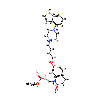 CCCCCCOC(=O)OCN1C(=O)CCc2ccc(OCCCCN3CCN(c4cccc5sccc45)CC3)cc21